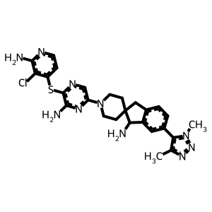 Cc1nnn(C)c1-c1ccc2c(c1)C(N)C1(CCN(c3cnc(Sc4ccnc(N)c4Cl)c(N)n3)CC1)C2